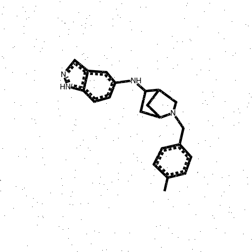 Cc1ccc(CN2CC3CC2CC3Nc2ccc3[nH]ncc3c2)cc1